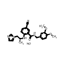 COc1ccc(CNC(=O)c2cc(C#N)ccc2N[C@@H](C)Cn2ccnc2)cc1OC.Cl